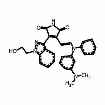 CN(C)c1cccc(N(/C=C/C2=C(c3nn(CCO)c4ccccc34)C(=O)NC2=O)c2ccccc2)c1